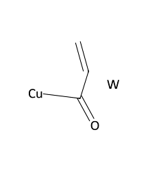 C=C[C](=O)[Cu].[W]